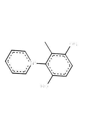 Cc1c(O)ccc(O)c1-[n+]1ccccc1